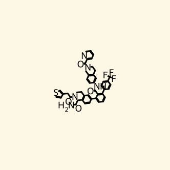 NC(=O)C1c2ccc(-c3cccc(-c4ccc(C(F)(F)F)cc4)c3C(=O)Nc3ccc4c(c3)CCN(C(=O)c3ccccn3)C4)cc2CCN1C(=O)Cc1ccsc1